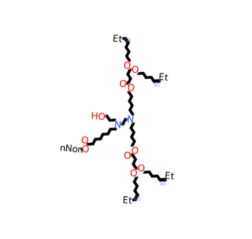 CC/C=C\CCCCOC(CCC(=O)OCCCCCCN(CCCCCCOC(=O)CCC(OCCCC/C=C\CC)OCCCC/C=C\CC)CCN(CCCO)CCCCCCCC(=O)OCCCCCCCCC)OCCCC/C=C\CC